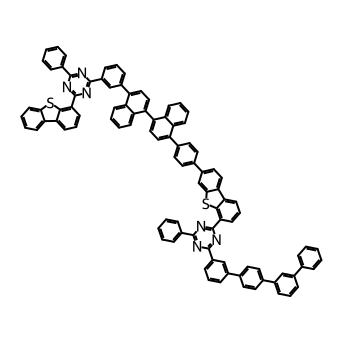 c1ccc(-c2cccc(-c3ccc(-c4cccc(-c5nc(-c6ccccc6)nc(-c6cccc7c6sc6cc(-c8ccc(-c9ccc(-c%10ccc(-c%11cccc(-c%12nc(-c%13ccccc%13)nc(-c%13cccc%14c%13sc%13ccccc%13%14)n%12)c%11)c%11ccccc%10%11)c%10ccccc9%10)cc8)ccc67)n5)c4)cc3)c2)cc1